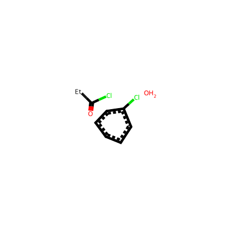 CCC(=O)Cl.Clc1ccccc1.O